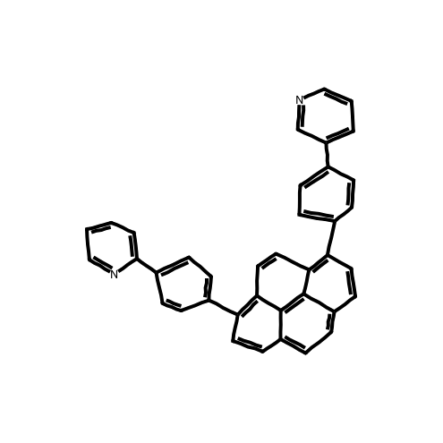 c1ccc(-c2ccc(-c3ccc4ccc5ccc(-c6ccc(-c7cccnc7)cc6)c6ccc3c4c56)cc2)nc1